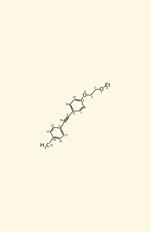 CCOCCOc1ccc(C#Cc2ccc(C)cc2)cc1